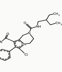 CCC(CC)CNC(=O)N1CCn2c(Cl)c(-c3ccccc3)c(C(N)=O)c2C1